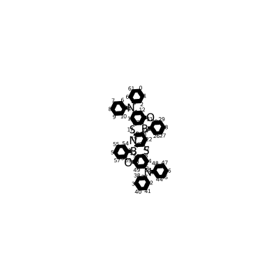 c1ccc(N(c2ccccc2)c2cc3c4c(c2)Sc2nc5c(cc2B4c2ccccc2O3)Sc2cc(N(c3ccccc3)c3ccccc3)cc3c2B5c2ccccc2O3)cc1